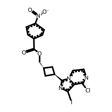 O=C(OC[C@H]1C[C@H](c2nc(I)c3c(Cl)nccn32)C1)c1ccc([N+](=O)[O-])cc1